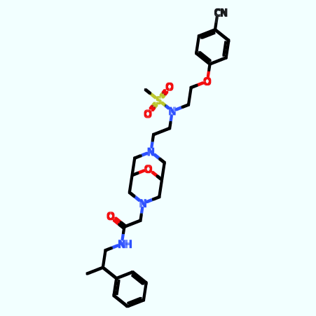 CC(CNC(=O)CN1CC2CN(CCN(CCOc3ccc(C#N)cc3)S(C)(=O)=O)CC(C1)O2)c1ccccc1